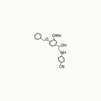 COc1cc(C(O)CNc2ccc(C#N)cc2)ccc1OCc1ccccc1